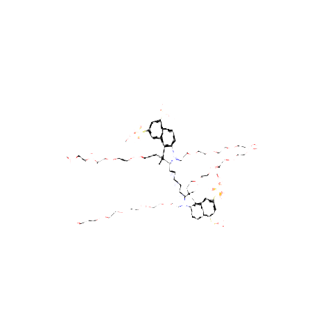 COCCOCCOCCOCCN1c2ccc3c(S(=O)OC)cc(S(=O)(=O)OC)cc3c2C(C)(CCOCCOCCOCCOC)C1/C=C/C=C/C=C1/N(CCOCCOCCOCCOCCC=O)c2ccc3c(SOC)cc(S(=O)(=O)OC)cc3c2C1(C)CCOCCOCCOCCOC